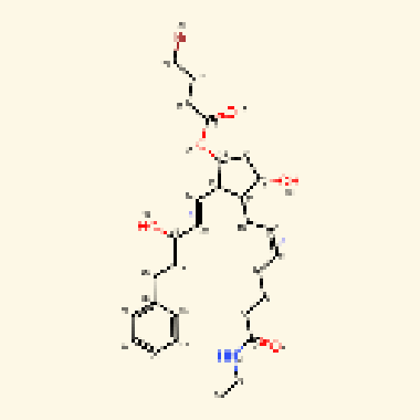 CCNC(=O)CCC/C=C\CC1C(O)CC(OC(=O)CCCBr)C1/C=C/C(O)CCc1ccccc1